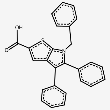 O=C(O)c1cc2c(-c3ccccc3)c(-c3ccccc3)n(Cc3ccccc3)c2s1